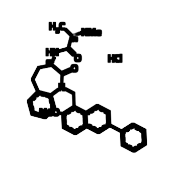 CN[C@@H](C)C(=O)N[C@H]1CCc2ccccc2N(Cc2c(OC)ccc3cc(-c4ccccc4)ccc23)C1=O.Cl